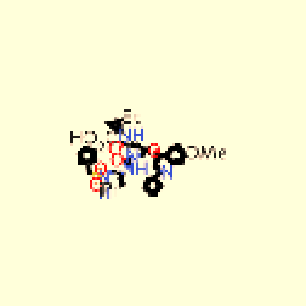 CC[C@@H]1C[C@]1(NC(=O)[C@@H]1C[C@@H](Oc2cc(-c3ccccc3)nc3cc(OC)ccc23)CN1C(=O)N[C@H](CNS(=O)(=O)Cc1ccccc1)CC(C)C)C(=O)O